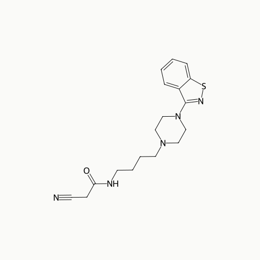 N#CCC(=O)NCCCCN1CCN(c2nsc3ccccc23)CC1